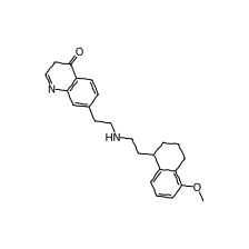 COc1cccc2c1CCCC2CCNCCc1ccc2c(c1)N=CCC2=O